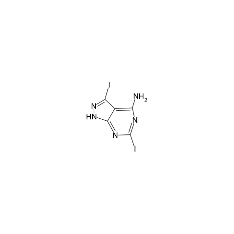 Nc1nc(I)nc2[nH]nc(I)c12